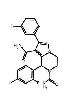 NC(=O)c1c(-c2cccc(F)c2)nn2c1C(c1ccc(F)cc1F)N(C(N)=O)CC2